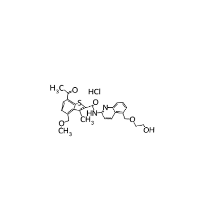 COCc1ccc(C(C)=O)c2sc(C(=O)Nc3ccc4c(COCCO)cccc4n3)c(C)c12.Cl